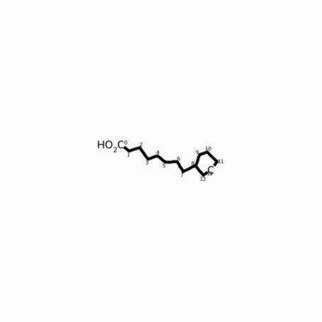 O=C(O)CCCCCCCC1CCCCC1